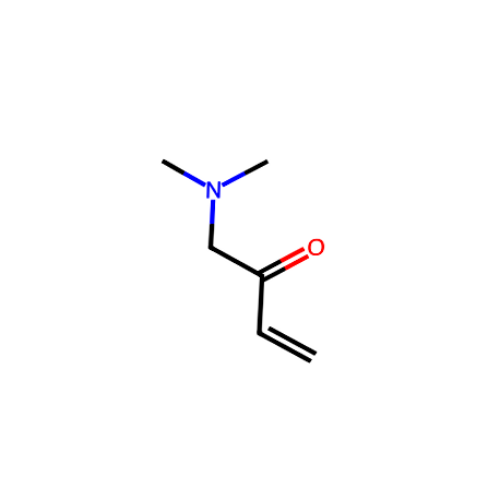 C=CC(=O)CN(C)C